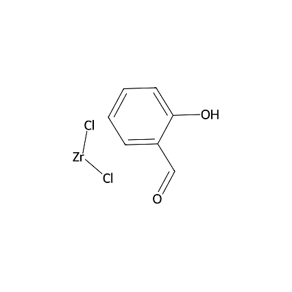 O=Cc1ccccc1O.[Cl][Zr][Cl]